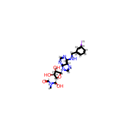 CN(C=O)C(O)[C@H]1O[C@@H](n2cnc3c(NCc4cccc(I)c4)ncnc32)[C@H](O)[C@@H]1O